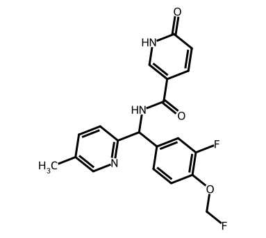 Cc1ccc(C(NC(=O)c2ccc(=O)[nH]c2)c2ccc(OCF)c(F)c2)nc1